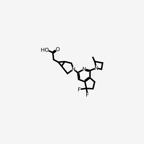 CC1CCN1c1nc(N2CC3C(CC(=O)O)C3C2)cc2c1CCC2(F)F